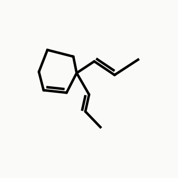 CC=CC1(C=CC)C=CCCC1